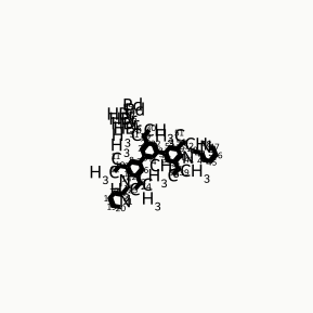 Br.Br.Br.Br.Cc1c(-c2cc(C(C)C)c(N=Cc3ccccn3)c(C(C)C)c2)cc(C(C)C)cc1-c1cc(C(C)C)c(N=Cc2ccccn2)c(C(C)C)c1.[Pd].[Pd]